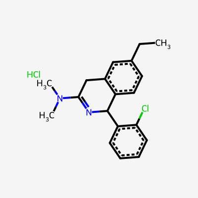 CCc1ccc2c(c1)CC(N(C)C)=NC2c1ccccc1Cl.Cl